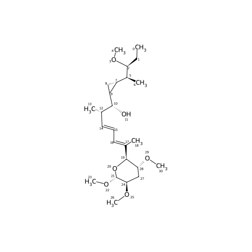 CC[C@H](OC)[C@@H](C)[C@H]1CC1[C@H](O)[C@@H](C)/C=C/C=C(\C)[C@@H]1O[C@@H](OC)[C@H](OC)C[C@H]1OC